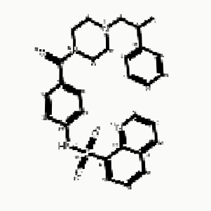 CC(CN1CCN(C(=O)c2ccc(NS(=O)(=O)c3cccc4cccnc34)cc2)CC1)c1ccccc1